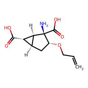 C=CCO[C@@H]1C[C@H]2[C@H](C(=O)O)[C@H]2[C@]1(N)C(=O)O